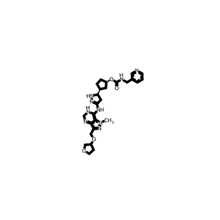 Cn1nc(COC2CCOC2)c2c1=C(NC1=NNC([C@H]3CC[C@@H](OC(=O)NCc4cccnc4)C3)C1)NCN=2